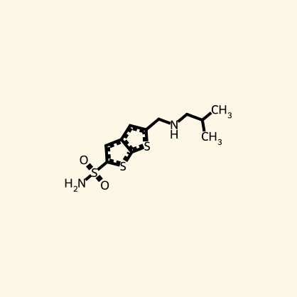 CC(C)CNCc1cc2cc(S(N)(=O)=O)sc2s1